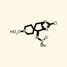 CC(C)(C)[S+]([O-])/N=C1\c2sc(Cl)nc2CC12CCN(C(=O)O)CC2